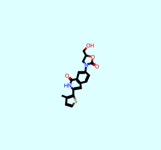 Cc1ccsc1-c1cc2ccc(N3CC(CO)OC3=O)cc2c(=O)[nH]1